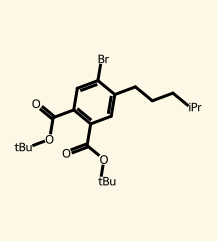 CC(C)CCCc1cc(C(=O)OC(C)(C)C)c(C(=O)OC(C)(C)C)cc1Br